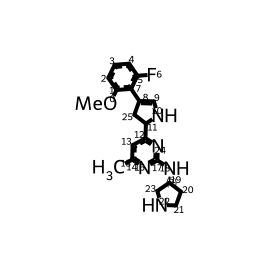 COc1cccc(F)c1C1=CNC(c2cc(C)nc(N[C@@H]3CCNC3)n2)C1